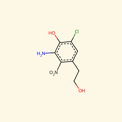 Nc1c(O)c(Cl)cc(CCO)c1[N+](=O)[O-]